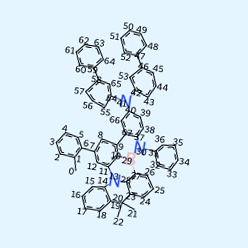 Cc1ccccc1-c1cc2c3c(c1)N1c4ccccc4C(C)(C)c4cccc(c41)B3N(c1ccccc1)c1ccc(N(c3cccc(-c4ccccc4)c3)c3cccc(-c4ccccc4)c3)cc1-2